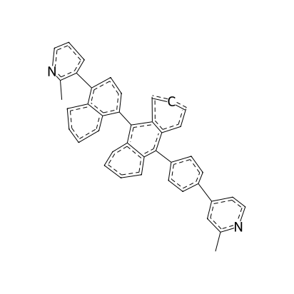 Cc1cc(-c2ccc(-c3c4ccccc4c(-c4ccc(-c5cccnc5C)c5ccccc45)c4ccccc34)cc2)ccn1